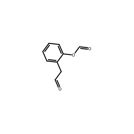 O=[C]Cc1ccccc1OC=O